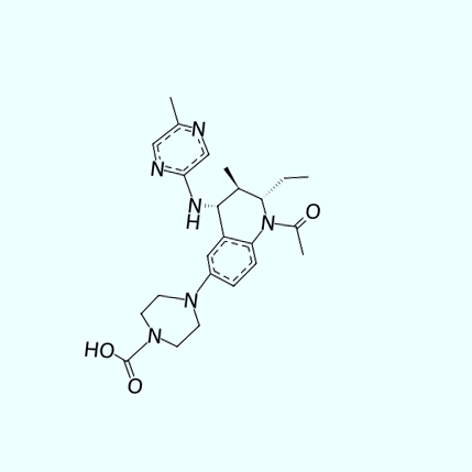 CC[C@H]1[C@H](C)[C@@H](Nc2cnc(C)cn2)c2cc(N3CCN(C(=O)O)CC3)ccc2N1C(C)=O